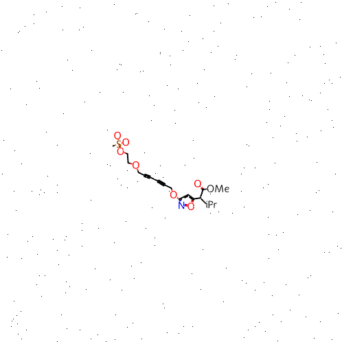 COC(=O)C(c1cc(OCC#CC#CCOCCOS(C)(=O)=O)no1)C(C)C